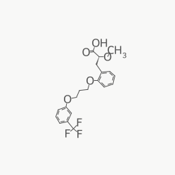 CO[C@@H](Cc1ccccc1OCCCOc1cccc(C(F)(F)F)c1)C(=O)O